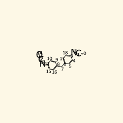 C=C=Nc1ccc(Cc2ccc(N=C=O)cc2)cc1